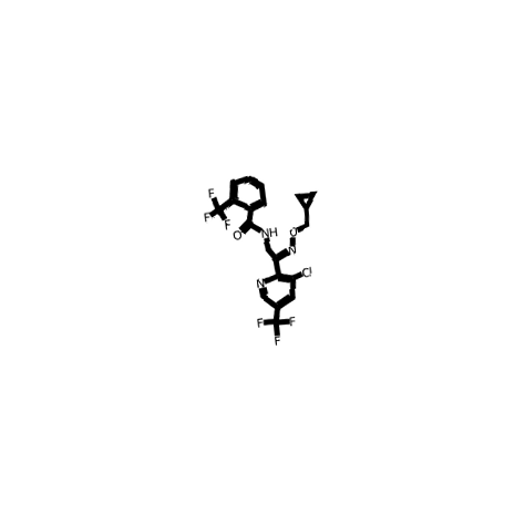 O=C(NC/C(=N\OCC1CC1)c1ncc(C(F)(F)F)cc1Cl)c1ccccc1C(F)(F)F